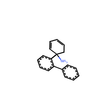 NC1(c2ccccc2-c2ccccc2)C=CC=CC1